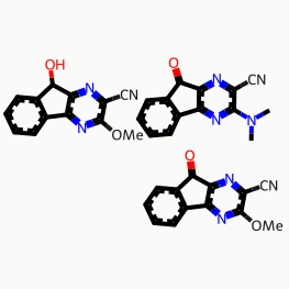 CN(C)c1nc2c(nc1C#N)C(=O)c1ccccc1-2.COc1nc2c(nc1C#N)C(=O)c1ccccc1-2.COc1nc2c(nc1C#N)C(O)c1ccccc1-2